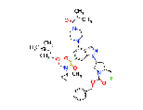 CC(C)C(=O)N1CCN(c2cc(S(=O)(=O)N(COCC[Si](C)(C)C)C3(C)CC3)cc3c2cnn3[C@H]2C[C@@H](CF)N(C(=O)OCc3ccccc3)C2)CC1